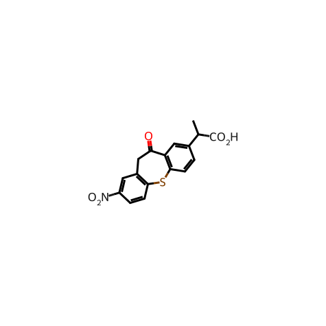 CC(C(=O)O)c1ccc2c(c1)C(=O)Cc1cc([N+](=O)[O-])ccc1S2